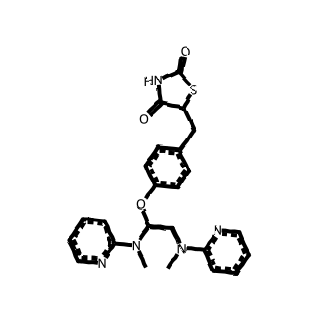 CN(CC(Oc1ccc(CC2SC(=O)NC2=O)cc1)N(C)c1ccccn1)c1ccccn1